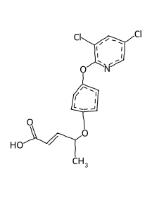 CC(C=CC(=O)O)Oc1ccc(Oc2ncc(Cl)cc2Cl)cc1